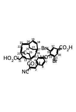 N#CC(=Cc1ccccc1)C(=O)O.O=C(O)CC1=CC2=CC=C3C=CC(=CC=C1CC2)CC3.O=C(O)c1cc(Br)c(O)c(Br)c1